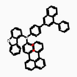 c1ccc(-c2cc(-c3ccc(N(c4ccc(-c5cccc6cccc(-c7ccccc7)c56)cc4)c4cccc5oc6ccccc6c45)cc3)cc3ccccc23)cc1